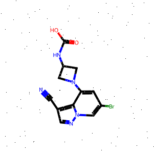 N#Cc1cnn2cc(Br)cc(N3CC(NC(=O)O)C3)c12